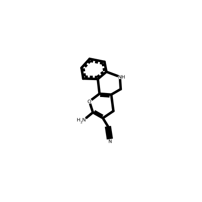 N#CC1=C(N)OC2=C(CNc3ccccc32)C1